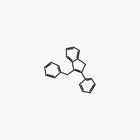 c1ccc(CC2=C(c3ccccc3)Cc3ccccc32)cc1